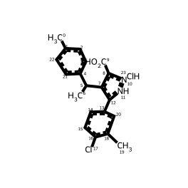 Cc1ccc(C(C)c2c(C(=O)O)n[nH]c2-c2ccc(Cl)c(C)c2)cc1.Cl